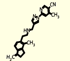 C=C1CCc2c1ccc(CCNCc1cnn(-c3cc(C)c(C#N)cn3)c1)c2C